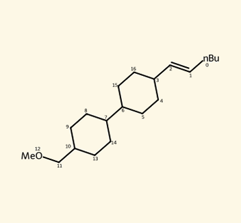 CCCCC=CC1CCC(C2CCC(COC)CC2)CC1